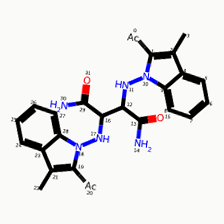 CC(=O)c1c(C)c2ccccc2n1NC(C(N)=O)C(Nn1c(C(C)=O)c(C)c2ccccc21)C(N)=O